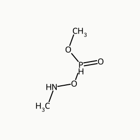 CNO[PH](=O)OC